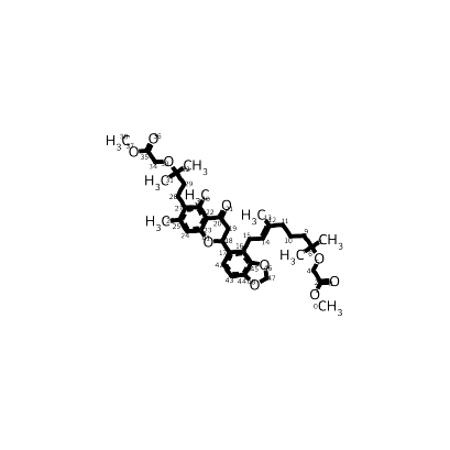 COC(=O)COC(C)(C)CCC/C(C)=C/Cc1c(C2CC(=O)c3c(cc(C)c(CCC(C)(C)OCC(=O)OC)c3C)O2)ccc2c1OCO2